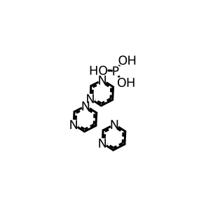 OP(O)O.c1cncnc1.c1cncnc1.c1cncnc1